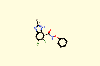 O=C(NOc1ccccc1)c1c(Cl)c(Cl)cc2nc(C(F)(F)F)[nH]c12